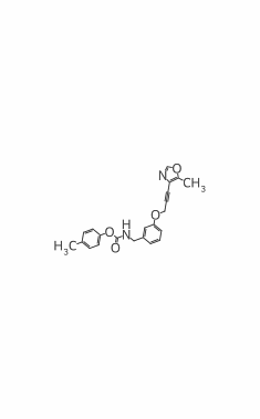 Cc1ccc(OC(=O)NCc2cccc(OCC#Cc3ncoc3C)c2)cc1